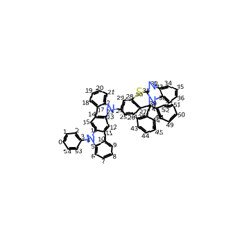 c1ccc(-n2c3ccccc3c3cc4c(cc32)c2ccccc2n4-c2ccc3c(c2)Sc2nc4ccccc4n2C3(c2ccccc2)c2ccccc2)cc1